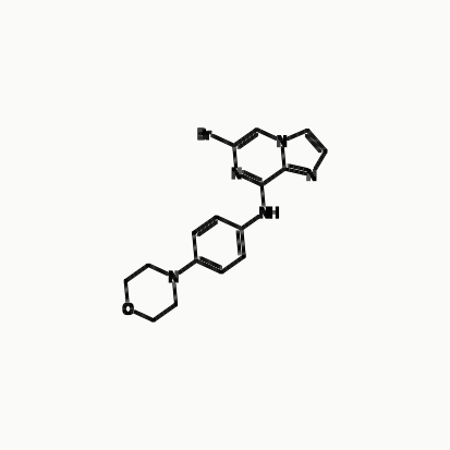 Brc1cn2ccnc2c(Nc2ccc(N3CCOCC3)cc2)n1